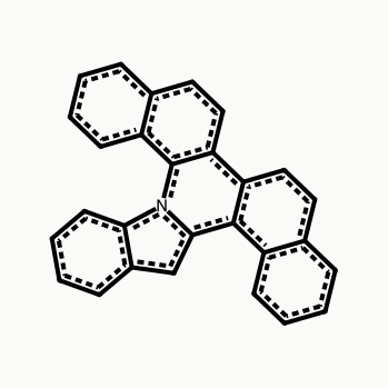 c1ccc2c(c1)ccc1c3ccc4ccccc4c3n3c4ccccc4cc3c21